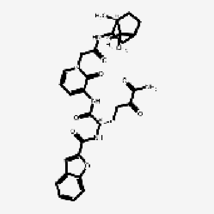 CC1(C)C2CC[C@@]1(C)C(NC(=O)Cn1cccc(NC(=O)[C@H](CCC(=O)C(N)=O)NC(=O)c3cc4ccccc4o3)c1=O)C2